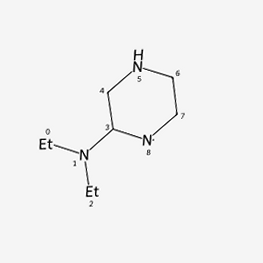 CCN(CC)C1CNCC[N]1